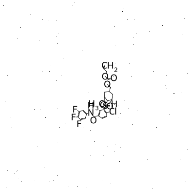 C=CCOC(=O)OC[C@@H]1CC2C(S(=O)(=O)c3cc(C(=O)Nc4cc(F)c(F)c(F)c4)ccc3Cl)[C@H](C1)C[C@@H]2C